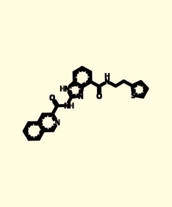 O=C(Nc1nc2c(C(=O)NCCc3cccs3)cccc2[nH]1)c1cc2ccccc2cn1